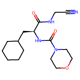 N#CCNC(=O)[C@H](CC1CCCCC1)NC(=O)N1CCOCC1